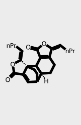 CCC/C=C1\OC(=O)C2=CC3CC[C@]21C1C2=C(CC[C@@H]31)/C(=C\CCC)OC2=O